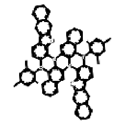 Cc1cc(C)c(B2c3ccc4c(oc5cc6ccccc6cc54)c3N3c4cc5ccccc5c5c4N(c4cc6ccccc6c2c43)c2c(ccc3c2oc2cc4ccccc4cc23)B5c2c(C)cc(C)cc2C)c(C)c1